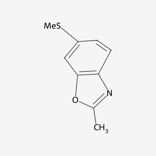 CSc1ccc2nc(C)oc2c1